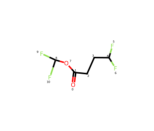 O=C(CCC(F)F)OC(F)F